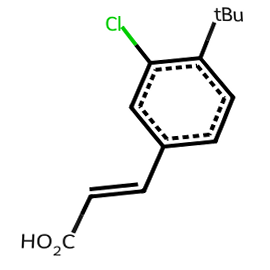 CC(C)(C)c1ccc(/C=C/C(=O)O)cc1Cl